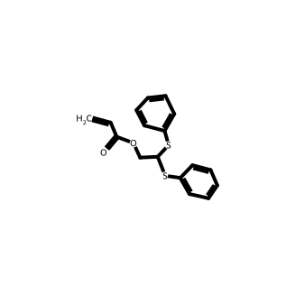 C=CC(=O)OCC(Sc1ccccc1)Sc1ccccc1